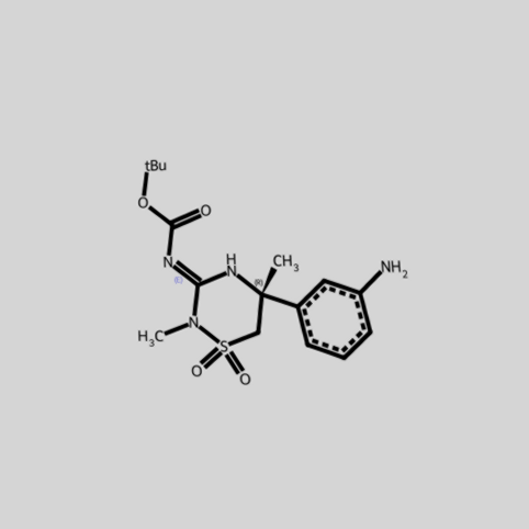 CN1/C(=N/C(=O)OC(C)(C)C)N[C@](C)(c2cccc(N)c2)CS1(=O)=O